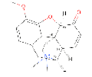 COC1=C2O[C@H]3C(=O)C=C[C@H]4[C@H]5CC(C=C1)C2[C@@]34CC[N+]5(C)C